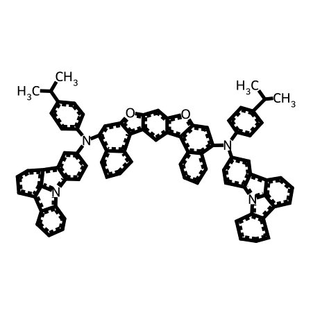 CC(C)c1ccc(N(c2ccc3c(c2)c2cccc4c5ccccc5n3c42)c2cc3oc4cc5oc6cc(N(c7ccc(C(C)C)cc7)c7ccc8c(c7)c7cccc9c%10ccccc%10n8c97)c7ccccc7c6c5cc4c3c3ccccc23)cc1